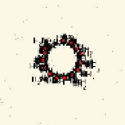 CC[C@H](C)[C@@H]1NC(=O)C(C)(C)NC(=O)[C@H](Cc2cncn2C)NC(=O)[C@H](Cc2ccccc2)NC(=O)CSC[C@@H](C(=O)NCC(N)=O)NC(=O)[C@H](Cc2ccc(O)cc2)NC(=O)[C@H](Cc2c[nH]c3ccccc23)NC(=O)[C@H](Cc2ccc(O)cc2)NC(=O)[C@H](CCCNC(=N)N)NC(=O)[C@H](Cc2ccccc2)NC(=O)C(C)(C)NC(=O)[C@H](CCCNC(=N)N)NC(=O)[C@H](CCCCN)NC(=O)[C@H](CCCNC(=N)N)NC1=O